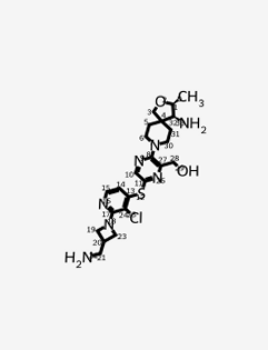 C[C@@H]1OCC2(CCN(c3ncc(Sc4ccnc(N5CC(CN)C5)c4Cl)nc3CO)CC2)[C@@H]1N